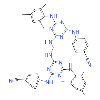 Cc1cc(C)c(Nc2nc(NCNc3nc(Nc4ccc(C#N)cc4)nc(Nc4c(C)cc(C)cc4C)n3)nc(Nc3ccc(C#N)cc3)n2)c(C)c1